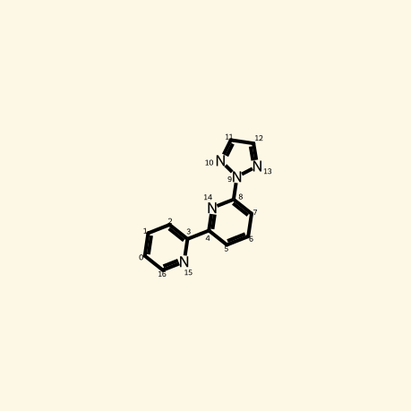 c1ccc(-c2cccc(-n3nccn3)n2)nc1